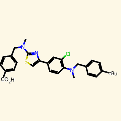 CN(Cc1ccc(C(=O)O)cc1)c1nc(-c2ccc(N(C)Cc3ccc(C(C)(C)C)cc3)c(Cl)c2)cs1